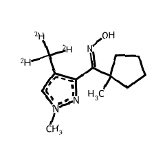 [2H]C([2H])([2H])c1cn(C)nc1C(=NO)C1(C)CCCC1